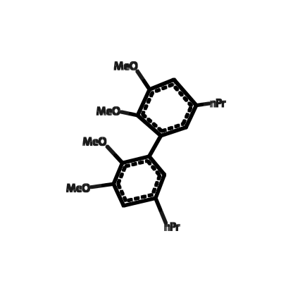 CCCc1cc(OC)c(OC)c(-c2cc(CCC)cc(OC)c2OC)c1